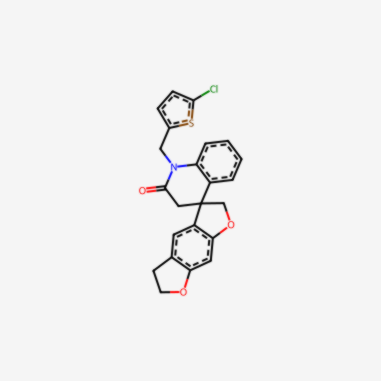 O=C1CC2(COc3cc4c(cc32)CCO4)c2ccccc2N1Cc1ccc(Cl)s1